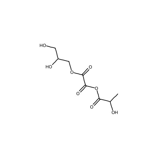 CC(O)C(=O)OC(=O)C(=O)OCC(O)CO